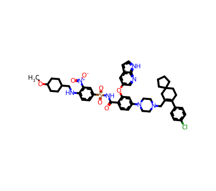 COC1CCC(CNc2ccc(S(=O)(=O)NC(=O)c3ccc(N4CCN(CC5=C(c6ccc(Cl)cc6)CCC6(CCCC6)C5)CC4)cc3Oc3cnc4[nH]ccc4c3)cc2[N+](=O)[O-])CC1